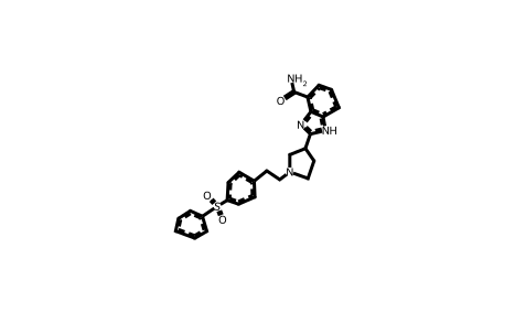 NC(=O)c1cccc2[nH]c(C3CCN(CCc4ccc(S(=O)(=O)c5ccccc5)cc4)C3)nc12